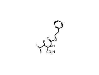 O=C(NC(C(=O)O)C(F)C(F)F)OCCc1ccccc1